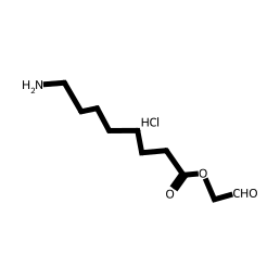 Cl.NCCCCCCCC(=O)OCC=O